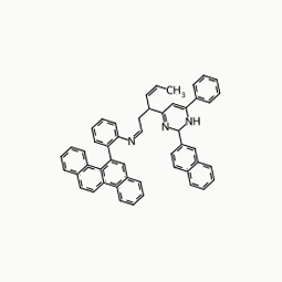 C/C=C\C(C/C=N\c1ccccc1-c1cc2ccccc2c2ccc3ccccc3c12)C1=NC(c2ccc3ccccc3c2)NC(c2ccccc2)=C1